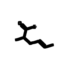 CC=CCC(C)C(=O)[S]